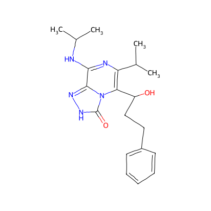 CC(C)Nc1nc(C(C)C)c(C(O)CCc2ccccc2)n2c(=O)[nH]nc12